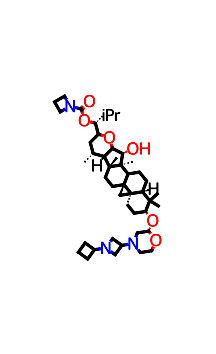 CC(C)[C@@H](OC(=O)N1CCC1)C1C[C@@H](C)[C@H]2C(O1)[C@H](O)[C@@]1(C)C3CC[C@H]4C(C)(C)[C@@H](O[C@H]5CN(C6CN(C7CCC7)C6)CCO5)CC[C@@]45C[C@@]35CC[C@]21C